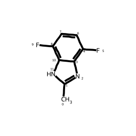 Cc1nc2c(F)ccc(F)c2[nH]1